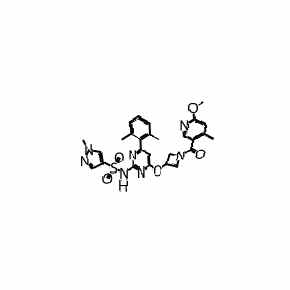 COc1cc(C)c(C(=O)N2CC(Oc3cc(-c4c(C)cccc4C)nc(NS(=O)(=O)c4cnn(C)c4)n3)C2)cn1